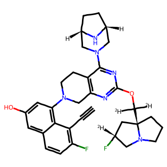 [2H]C([2H])(Oc1nc2c(c(N3C[C@H]4CC[C@@H](C3)N4)n1)CCN(c1cc(O)cc3ccc(F)c(C#C)c13)C2)[C@@]12CCCN1C[C@]([2H])(F)C2